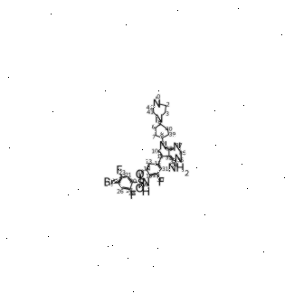 CN1CCN(C2CCC(n3cc(-c4ccc(NS(=O)(=O)c5cc(F)c(Br)cc5F)c(F)c4)c4c(N)ncnc43)CC2)CC1